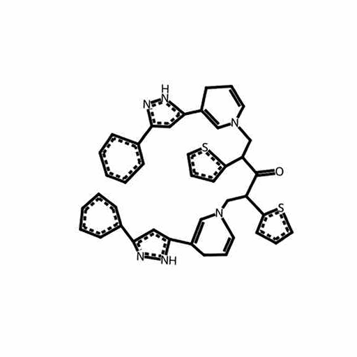 O=C(C(CN1C=CCC(c2cc(-c3ccccc3)n[nH]2)=C1)c1cccs1)C(CN1C=CCC(c2cc(-c3ccccc3)n[nH]2)=C1)c1cccs1